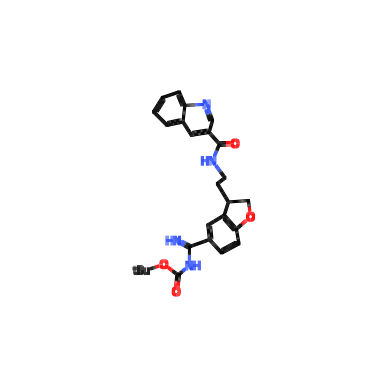 CC(C)(C)OC(=O)NC(=N)c1ccc2c(c1)C(CCNC(=O)c1cnc3ccccc3c1)CO2